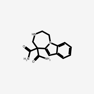 NC(=O)C1(C(N)=O)CNCCn2c1cc1ccccc12